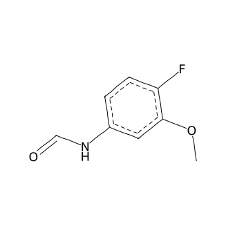 COc1cc(NC=O)ccc1F